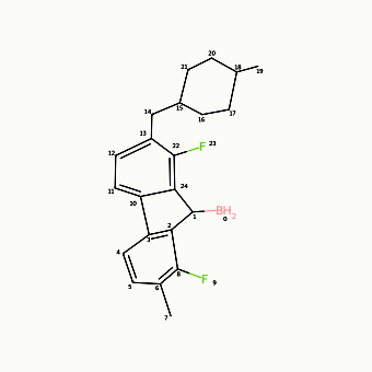 BC1c2c(ccc(C)c2F)-c2ccc(CC3CCC(C)CC3)c(F)c21